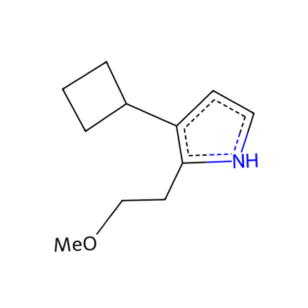 COCCc1[nH]ccc1C1CCC1